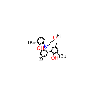 CCOCCCN(c1ccccc1-c1cc(C)cc(C(C)(C)C)c1O)c1cc(C)cc(C(C)(C)C)c1O.[Zr]